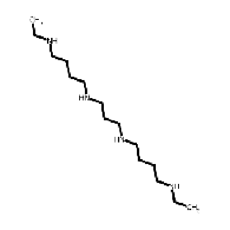 CCNCCCCNCCCNCCCCNCC